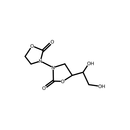 O=C1OCCN1N1CC(C(O)CO)OC1=O